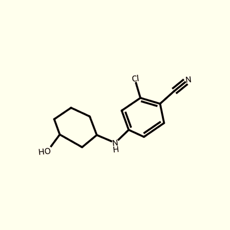 N#Cc1ccc(NC2CCCC(O)C2)cc1Cl